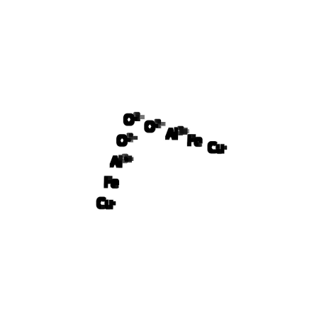 [Al+3].[Al+3].[Cu].[Cu].[Fe].[Fe].[O-2].[O-2].[O-2]